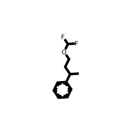 CC(CCOC(F)F)c1cc[c]cc1